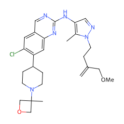 C=C(CCn1ncc(Nc2ncc3cc(Cl)c(C4CCN(C5(C)COC5)CC4)cc3n2)c1C)COC